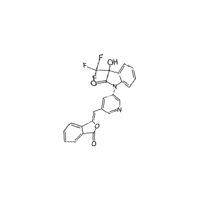 O=C1OC(=Cc2cncc(N3C(=O)C(O)(C(F)(F)F)c4ccccc43)c2)c2ccccc21